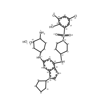 Cl.Cl.NC1CCC(Nc2nc(NC3CCN(S(=O)(=O)c4cc(Cl)cc(Cl)c4O)CC3)c3ncn(C4CCCC4)c3n2)CC1